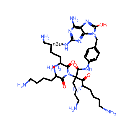 CCCCNc1nc(N)c2nc(O)n(Cc3ccc(NC(=O)C(CCCCN)(C(=O)C(N)CCCCN)N(C(=O)C(N)CCCCN)C(=O)C(N)CCCCN)cc3)c2n1